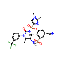 [C-]#[N+]C1=C(C)N(c2cccc(C(F)(F)F)c2)C(=O)N(S(=O)(=O)c2cn(C)c(C)n2)[C@@H]1c1ccc(C#N)cc1S(C)(=O)=O